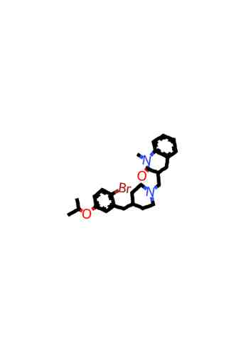 CC(C)Oc1ccc(Br)c(CC2CCN(CC3Cc4ccccc4N(C)C3=O)CC2)c1